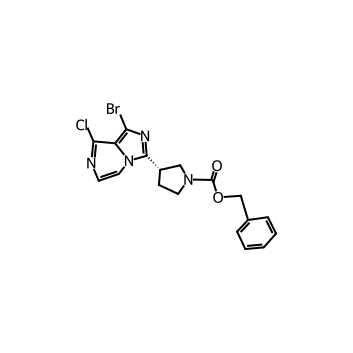 O=C(OCc1ccccc1)N1CC[C@H](c2nc(Br)c3c(Cl)nccn23)C1